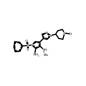 CC[C@@H](C)Nc1c(-c2cnn(C3CCN(CC)CC3)c2)cn(S(=O)(=O)c2ccccc2)c1N